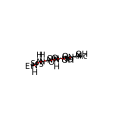 CCC(=S)Nc1ccc(NC(=S)NCCCCCN(O)C(=O)CCC(=O)NCCCCCN(O)C(=O)CCC(=O)NCCCCCN(O)C(C)=O)cc1